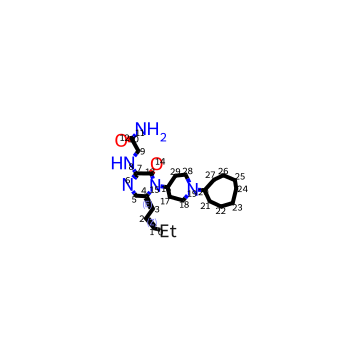 CC/C=C\C=C1/CN=C(NCC(N)=O)C(=O)N1C1CCN(C2CCCCCCC2)CC1